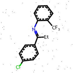 CCC(=Nc1ccccc1C(F)(F)F)c1ccc(Cl)cc1